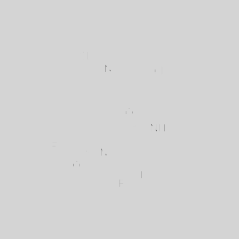 O=C(Nc1cccc(Cl)c1)C1CN(C(=O)c2cc(-c3ccnc(Cl)c3)ccc2F)CC(F)(F)C1